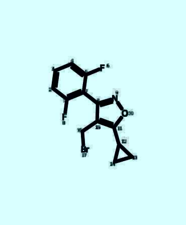 Fc1cccc(F)c1-c1noc(C2CC2)c1CBr